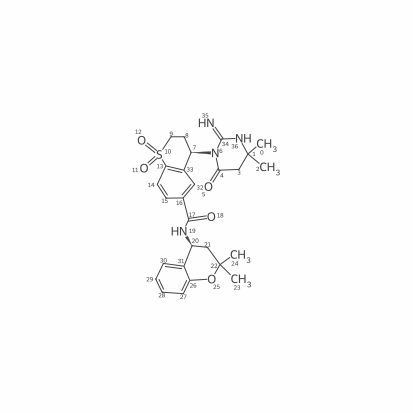 CC1(C)CC(=O)N([C@@H]2CCS(=O)(=O)c3ccc(C(=O)N[C@H]4CC(C)(C)Oc5ccccc54)cc32)C(=N)N1